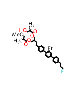 C=C(CO)C(=O)OCC(CCc1ccc(-c2ccc(-c3ccc(CCCF)cc3)cc2CC)cc1)COC(=O)C(=C)COC